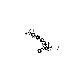 CC(O)c1ccc(-c2ccc(N3CCC(CC4N=CC(C)(OCc5ccccc5)C(C(=O)NCC(=O)O)=N4)CC3)cc2)nc1